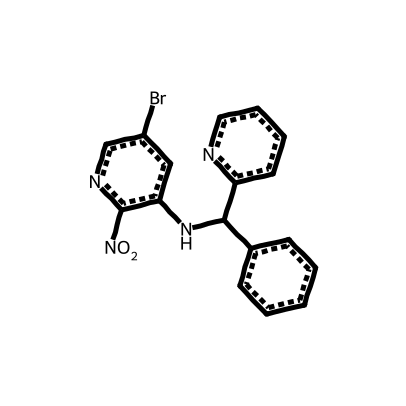 O=[N+]([O-])c1ncc(Br)cc1NC(c1ccccc1)c1ccccn1